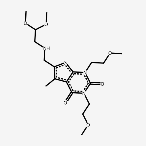 COCCn1c(=O)c2c(C)c(CNCC(OC)OC)sc2n(CCOC)c1=O